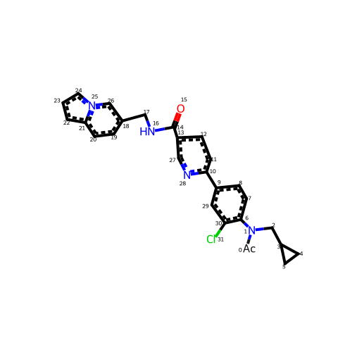 CC(=O)N(CC1CC1)c1ccc(-c2ccc(C(=O)NCc3ccc4cccn4c3)cn2)cc1Cl